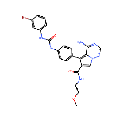 COCCNC(=O)c1cn2ncnc(N)c2c1-c1ccc(NC(=O)Nc2cccc(Br)c2)cc1